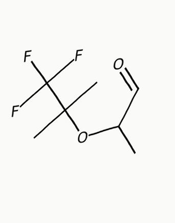 CC(C=O)OC(C)(C)C(F)(F)F